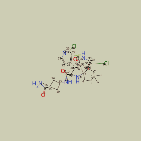 CC1(C)CCC2(CC1)N[C@@H](C(=O)N[C@H]1C[C@H](C(N)=O)C1)[C@H](c1ccnc(Cl)c1F)[C@]21C(=O)Nc2cc(Cl)ccc21